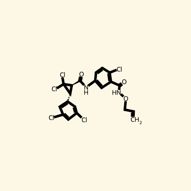 C=CCONC(=O)c1cc(NC(=O)[C@H]2[C@H](c3cc(Cl)cc(Cl)c3)C2(Cl)Cl)ccc1Cl